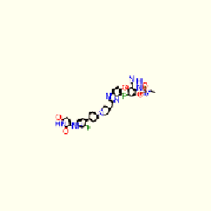 CCN(C)S(=O)(=O)Nc1ccc(F)c(Oc2ccc3ncc(CC4CCN(C5CCC(c6ccc(NC7CCC(=O)NC7=O)cc6F)CC5)CC4)nc3c2)c1C#N